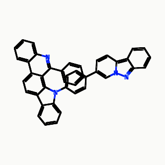 c1ccc(-c2nc3ccccc3c3ccc4c5ccccc5n(-c5ccc(-c6ccc7c8ccccc8nn7c6)cc5)c4c23)cc1